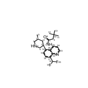 C[C@@H]1CNC[C@](NC(=O)CC(C)(C)C)(c2ccc(C(F)F)c3ncccc23)C1